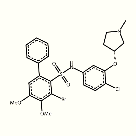 COc1cc(-c2ccccc2)c(S(=O)(=O)Nc2ccc(Cl)c(O[C@@H]3CCN(C)C3)c2)c(Br)c1OC